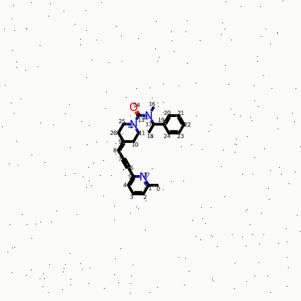 Cc1cccc(C#CC=C2CCN(C(=O)N(C)C(C)c3ccccc3)CC2)n1